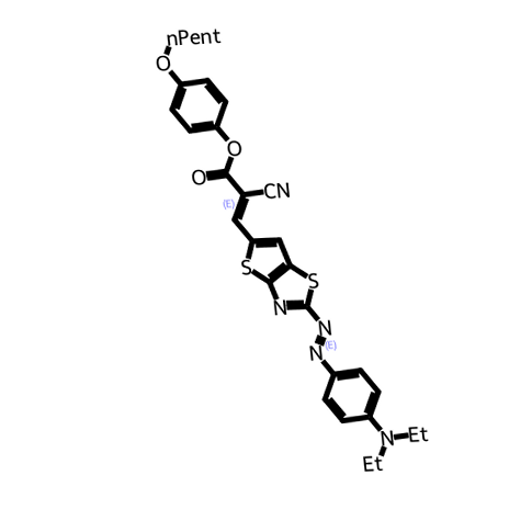 CCCCCOc1ccc(OC(=O)/C(C#N)=C/c2cc3sc(/N=N/c4ccc(N(CC)CC)cc4)nc3s2)cc1